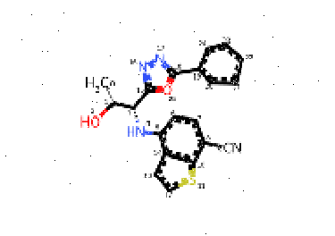 C[C@@H](O)[C@@H](Nc1ccc(C#N)c2sccc12)c1nnc(-c2ccccc2)o1